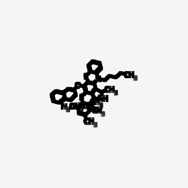 CCCCCN1c2ccccc2Sc2c(Oc3ccc4ccccc4c3)c(Sc3c(C)cc(C)cc3C)c3c(c21)C(C)NC3N(C)C